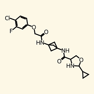 O=C(COc1ccc(Cl)c(F)c1)NC12CC(NC(=O)C3COC(C4CC4)N3)(C1)C2